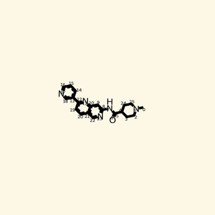 CN1CCC(C(=O)Nc2cc3nc(-c4cccnc4)ccc3cn2)CC1